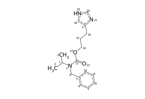 CC(C)N(Cc1ccccc1)C(=O)OCCCc1c[nH]cn1